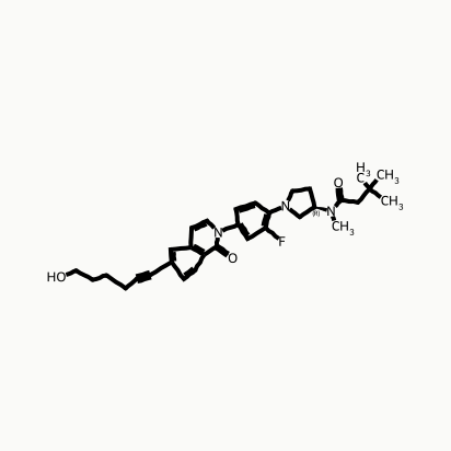 CN(C(=O)CC(C)(C)C)[C@@H]1CCN(c2ccc(-n3ccc4cc(C#CCCCCO)ccc4c3=O)cc2F)C1